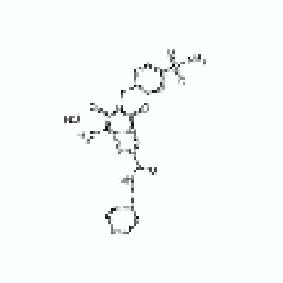 Cc1c(=O)n(Cc2ccc(S(N)(=O)=O)cc2)c(=O)n2cc(C(=O)NCc3ccncc3)sc12.Cl